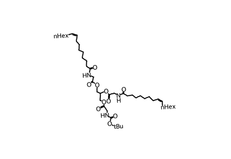 CCCCCC/C=C\CCCCCCCC(=O)NCC(=O)OCC(COC(=O)CNC(=O)OC(C)(C)C)OC(=O)CNC(=O)CCCCCCC/C=C\CCCCCC